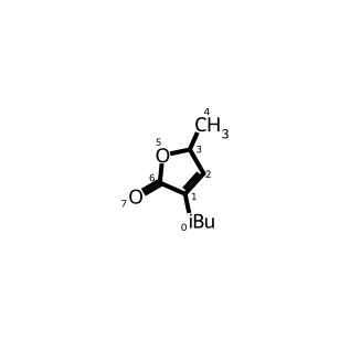 CCC(C)C1=CC(C)OC1=O